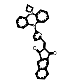 O=C1C(=Cc2ccc(N3c4ccccc4[Si]4(CCC4)c4ccccc43)s2)C(=O)c2cc3ccccc3cc21